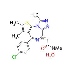 CNC(=O)C[C@@H]1N=C(c2ccc(Cl)cc2)c2c(sc(C)c2C)-n2c(C)nnc21.O